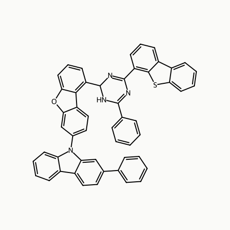 c1ccc(C2=NC(c3cccc4c3sc3ccccc34)=NC(c3cccc4oc5cc(-n6c7ccccc7c7ccc(-c8ccccc8)cc76)ccc5c34)N2)cc1